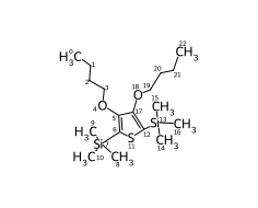 CCCCOc1c([Si](C)(C)C)sc([Si](C)(C)C)c1OCCCC